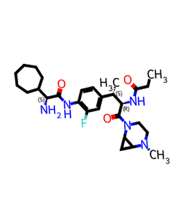 CCC(=O)N[C@@H](C(=O)N1CCN(C)C2CC21)[C@@H](C)c1ccc(NC(=O)[C@@H](N)C2CCCCCC2)c(F)c1